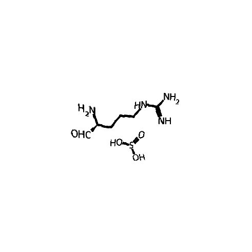 N=C(N)NCCC[C@H](N)C=O.O=S(O)O